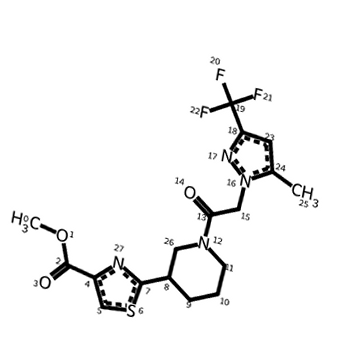 COC(=O)c1csc(C2CCCN(C(=O)Cn3nc(C(F)(F)F)cc3C)C2)n1